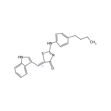 CCCCc1ccc(NC2=NC(=O)/C(=C/c3c[nH]c4ccccc34)S2)cc1